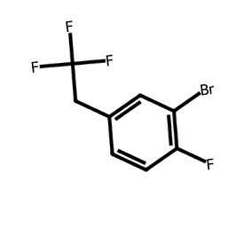 Fc1ccc(CC(F)(F)F)cc1Br